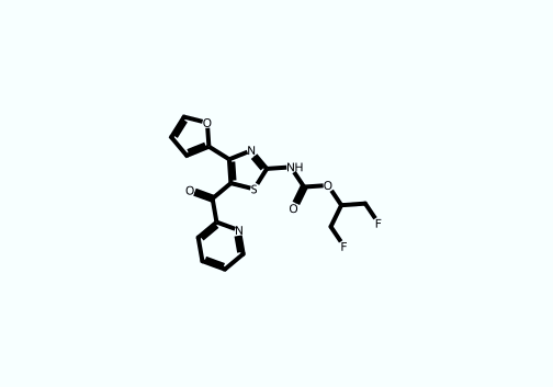 O=C(Nc1nc(-c2ccco2)c(C(=O)c2ccccn2)s1)OC(CF)CF